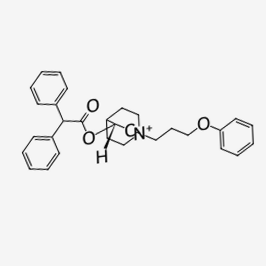 O=C(O[C@H]1C[N+]2(CCCOc3ccccc3)CCC1CC2)C(c1ccccc1)c1ccccc1